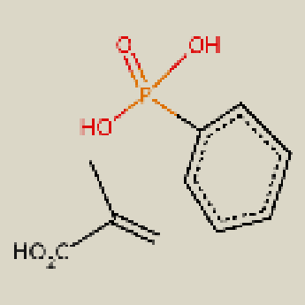 C=C(C)C(=O)O.O=P(O)(O)c1ccccc1